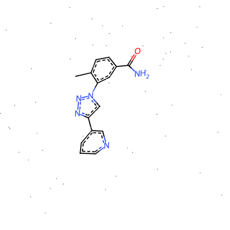 Cc1ccc(C(N)=O)cc1-n1cc(-c2cccnc2)nn1